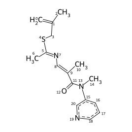 C=C(C)CS/C(C)=N/C=C(\C)C(=O)N(C)c1cccnc1